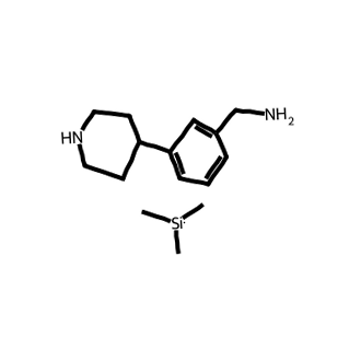 C[Si](C)C.NCc1cccc(C2CCNCC2)c1